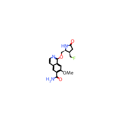 COc1cc2c(OC[C@H]3NC(=O)C[C@H]3CF)nccc2cc1C(N)=O